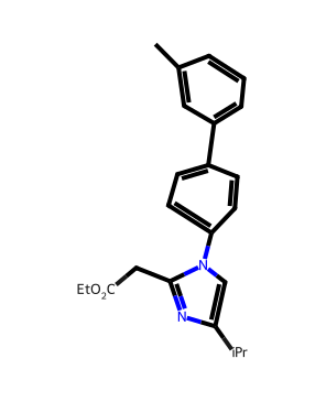 CCOC(=O)Cc1nc(C(C)C)cn1-c1ccc(-c2cccc(C)c2)cc1